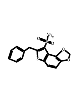 NS(=O)(=O)c1c(Cc2ccccc2)sc2ccc3c(c12)OCO3